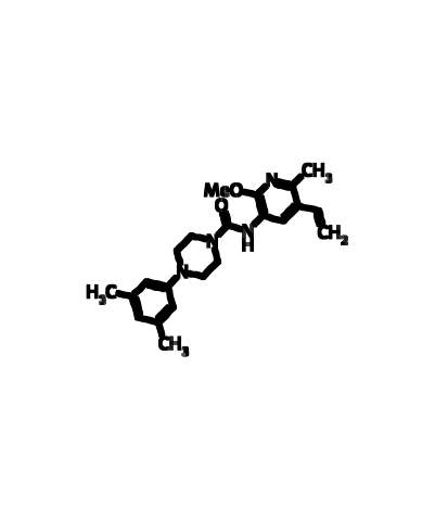 C=Cc1cc(NC(=O)N2CCN(c3cc(C)cc(C)c3)CC2)c(OC)nc1C